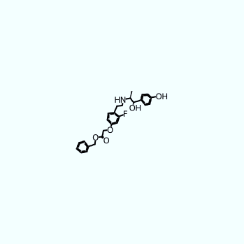 C[C@H](NCCc1ccc(OCC(=O)OCc2ccccc2)cc1F)[C@H](O)c1ccc(O)cc1